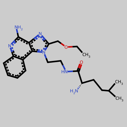 CCOCc1nc2c(N)nc3ccccc3c2n1CCNC(=O)[C@@H](N)CCC(C)C